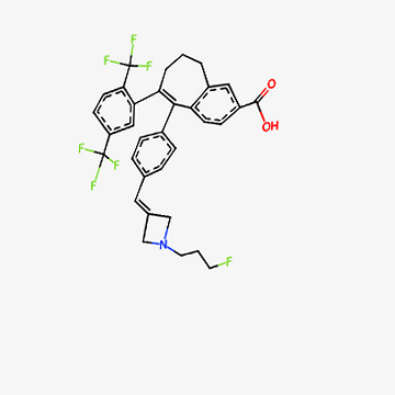 O=C(O)c1ccc2c(c1)CCCC(c1cc(C(F)(F)F)ccc1C(F)(F)F)=C2c1ccc(C=C2CN(CCCF)C2)cc1